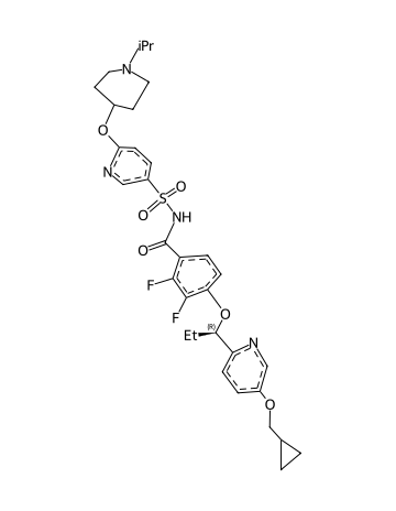 CC[C@@H](Oc1ccc(C(=O)NS(=O)(=O)c2ccc(OC3CCN(C(C)C)CC3)nc2)c(F)c1F)c1ccc(OCC2CC2)cn1